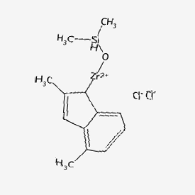 CC1=Cc2c(C)cccc2[CH]1[Zr+2][O][SiH](C)C.[Cl-].[Cl-]